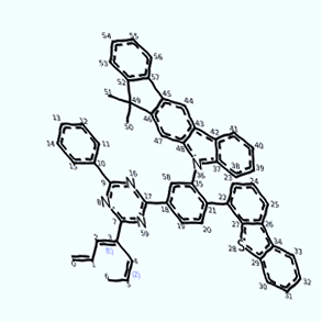 C=C/C=C(\C=C/C)c1nc(-c2ccccc2)nc(-c2ccc(-c3cccc4c3sc3ccccc34)c(-n3c4ccccc4c4cc5c(cc43)C(C)(C)c3ccccc3-5)c2)n1